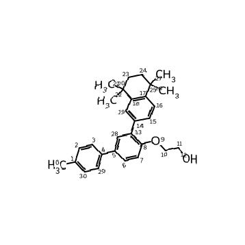 Cc1ccc(-c2ccc(OCCO)c(-c3ccc4c(c3)C(C)(C)CCC4(C)C)c2)cc1